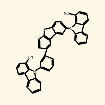 N#Cc1cccc2c3ccccc3n(-c3cccc(-c4ccc5sc6ccc(-n7c8ccccc8c8cccc(C#N)c87)cc6c5c4)c3)c12